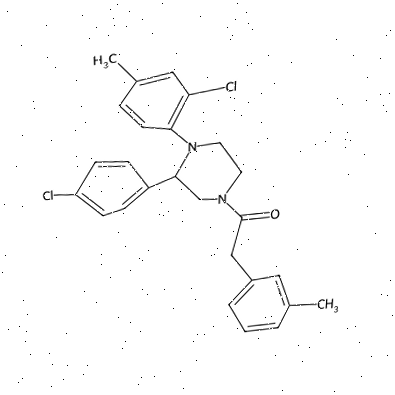 Cc1cccc(CC(=O)N2CCN(c3ccc(C)cc3Cl)C(c3ccc(Cl)cc3)C2)c1